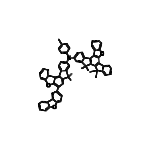 Cc1ccc(N(c2ccc3c(c2)C(C)(C)c2cc(-c4ccc5oc6ccccc6c5c4)c4oc5ccccc5c4c2-3)c2ccc3c(c2)C(C)(C)c2c4c(c5oc6ccccc6c5c2-3)-c2ccccc2C4(C)C)cc1